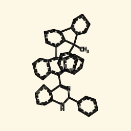 CC1(c2ccccc2)c2ccccc2-c2cccc(-c3c4ccccc4c(C4=NC(c5ccccc5)Nc5ccccc54)c4ccccc34)c21